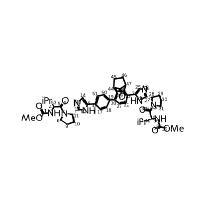 COC(=O)N[C@H](C(=O)N1CCC[C@H]1c1ncc(-c2ccc(-c3ccc(-c4cnc([C@@H]5CCCN5C(=O)[C@@H](NC(=O)OC)C(C)C)[nH]4)c4c3C3CCC4C3=O)cc2)[nH]1)C(C)C